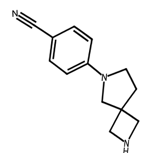 N#Cc1ccc(N2CCC3(CNC3)C2)cc1